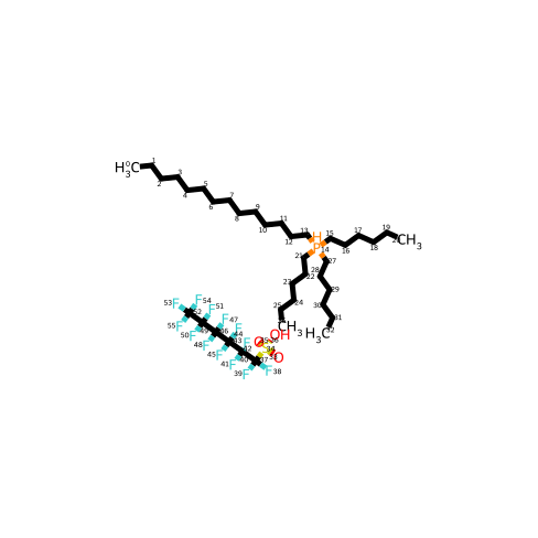 CCCCCCCCCCCCCC[PH](CCCCCC)(CCCCCC)CCCCCC.O=S(=O)(O)C(F)(F)C(F)(F)C(F)(F)C(F)(F)C(F)(F)C(F)(F)F